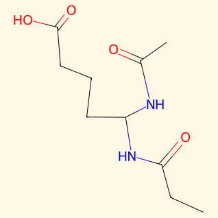 CCC(=O)NC(CCCC(=O)O)NC(C)=O